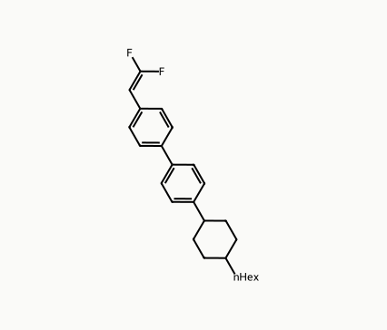 CCCCCCC1CCC(c2ccc(-c3ccc(C=C(F)F)cc3)cc2)CC1